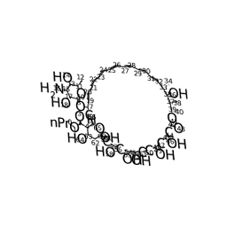 CCCOC(=O)[C@H]1[C@@H]2C[C@@H](O[C@@H]3O[C@H](C)[C@@H](O)[C@H](N)[C@H]3O)/C=C/C=C/C=C/C=C/C=C/C=C/C=C/[C@H](C)[C@@H](O)[C@@H](C)[C@H](C)OC(=O)C[C@H](O)C[C@H](O)CC[C@@H](O)[C@H](O)C[C@H](O)C[C@](O)(C[C@@H]1O)O2